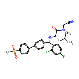 CC(C)C[C@H](N[C@@H](c1ccc(-c2ccc(S(C)(=O)=O)cc2)cc1)c1ccc(F)cc1F)C(=O)NCC#N